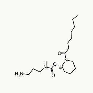 CCCCCCCC(=O)N1CCCC[C@@H]1OC(=O)NCCCN